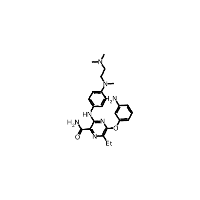 CCc1nc(C(N)=O)c(Nc2ccc(N(C)CCN(C)C)cc2)nc1Oc1cccc(N)c1